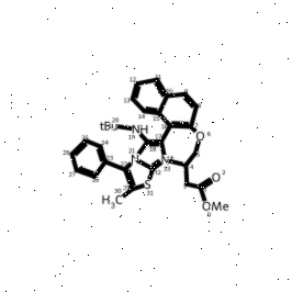 COC(=O)CC1COc2ccc3ccccc3c2-c2c(NC(C)(C)C)n3c(-c4ccccc4)c(C)sc3[n+]21